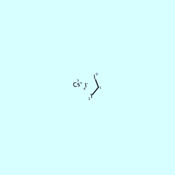 ICI.[Cs+].[I-]